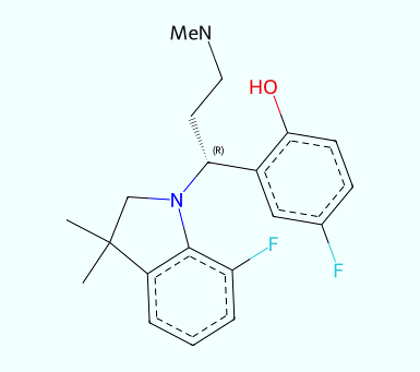 CNCC[C@H](c1cc(F)ccc1O)N1CC(C)(C)c2cccc(F)c21